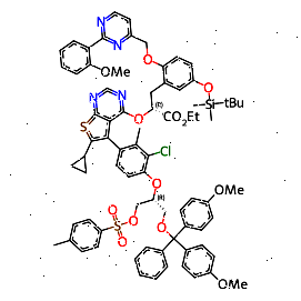 CCOC(=O)[C@@H](Cc1cc(O[Si](C)(C)C(C)(C)C)ccc1OCc1ccnc(-c2ccccc2OC)n1)Oc1ncnc2sc(C3CC3)c(-c3ccc(O[C@H](COC(c4ccccc4)(c4ccc(OC)cc4)c4ccc(OC)cc4)COS(=O)(=O)c4ccc(C)cc4)c(Cl)c3C)c12